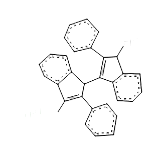 CC1=C(c2ccccc2)C(C2=C(c3ccccc3)[CH]([Hf+2])c3ccccc32)c2ccccc21.[Cl-].[Cl-]